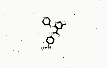 CN[C@H]1CC[C@@H](NC(=O)c2cc(F)cnc2OC2CCSCC2)CC1